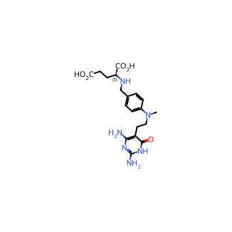 CN(CCc1c(N)nc(N)[nH]c1=O)c1ccc(CN[C@@H](CCC(=O)O)C(=O)O)cc1